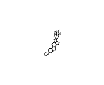 COCC1CCC2C(CCC3C2CCC2(C)C(C(=O)Cn4nnc(C)n4)CCC32)C1